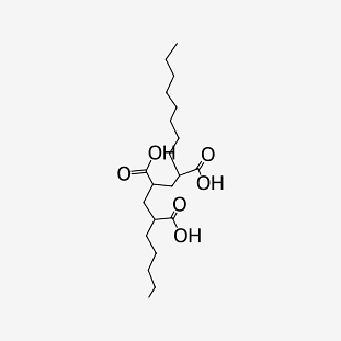 CCCCCCCCC(CC(CC(CCCCC)C(=O)O)C(=O)O)C(=O)O